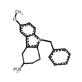 COc1ccc2c(c1)c1c(n2Cc2ccccc2)CCC(N)C1